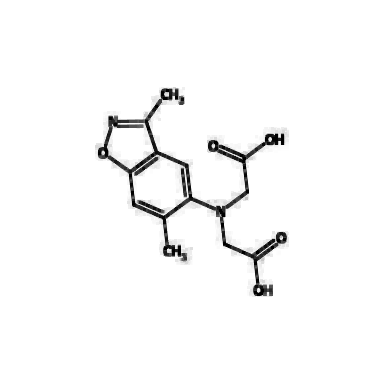 Cc1cc2onc(C)c2cc1N(CC(=O)O)CC(=O)O